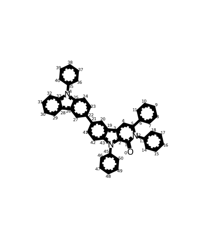 O=c1c2c(cc(-c3ccccc3)n1-c1ccccc1)c1cc(-c3ccc4c(c3)c3ccccc3n4-c3ccccc3)ccc1n2-c1ccccc1